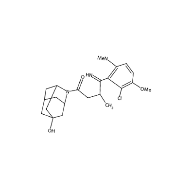 CNc1ccc(OC)c(Cl)c1C(=N)C(C)CC(=O)N1C2CC3CC1CC(O)(C3)C2